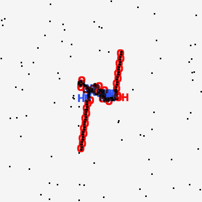 COCCOCCOCCOCCOCCOCCOCCOCCNC(=O)c1cc(NC(=O)[C@H](C)NC(=O)[C@@H](NC(=O)[C@H](CCC(=O)OC(C)(C)C)NC(=O)CCCNC(=O)[C@H](CCCCNC(=O)COCCOCCOCCOCCOCCOCCOCCOCCOCCOC)NC(=O)CCCN2C(=O)C=CC2=O)C(C)C)ccc1CO